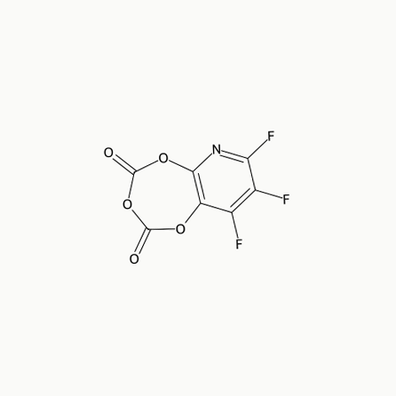 O=C1OC(=O)Oc2c(nc(F)c(F)c2F)O1